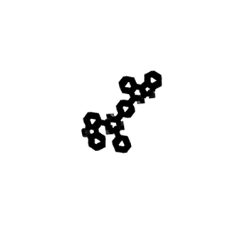 c1ccc(-c2nc(-c3ccc(-c4nc5sc6ccccc6c5c5ccccc45)cc3)nc(-c3cccc4oc5ccccc5c34)n2)cc1